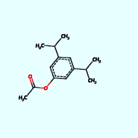 CC(=O)Oc1cc(C(C)C)cc(C(C)C)c1